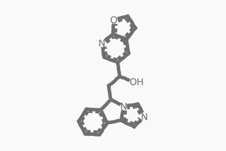 OC(CC1c2ccccc2-c2cncn21)c1cnc2occc2c1